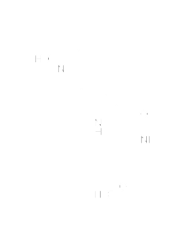 COc1ccc2c(c1)NC(=O)C2=C(Nc1ccc(CN(C)Cc2ccccc2)cc1)c1ccccc1